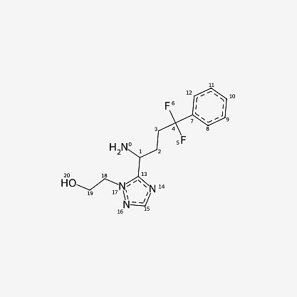 NC(CCC(F)(F)c1ccccc1)c1ncnn1CCO